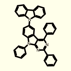 c1ccc(-c2nc(-c3ccccc3)c3c4cc(-n5c6ccccc6c6ccccc65)ccc4n(-c4ccccc4)c3n2)cc1